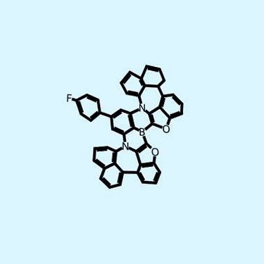 Fc1ccc(-c2cc3c4c(c2)-n2c5cccc6cccc(c7cccc8oc(c2c87)B4c2oc4cccc7c4c2N3c2cccc3c2C7CC=C3)c65)cc1